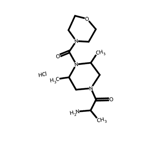 CC(N)C(=O)N1CC(C)N(C(=O)N2CCOCC2)C(C)C1.Cl